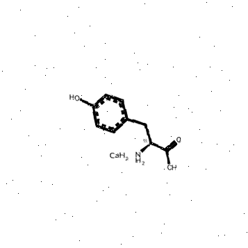 N[C@@H](Cc1ccc(O)cc1)C(=O)O.[CaH2]